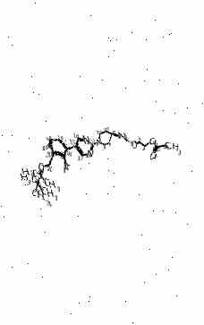 CC(=O)OCCON=C1CCN(c2ncc(-c3cccc(CO[Si](C)(C)C(C)(C)C)c3F)cn2)CC1